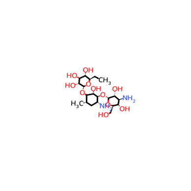 CC[C@H]1O[C@H](OC2[C@@H](C)C[C@@H](N)[C@H](O[C@H]3O[C@H](CO)[C@@H](O)[C@H](N)[C@H]3O)[C@H]2O)[C@H](O)[C@@H](O)[C@@H]1O